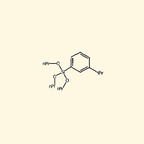 CCCO[Si](OCCC)(OCCC)c1cccc(C(C)C)c1